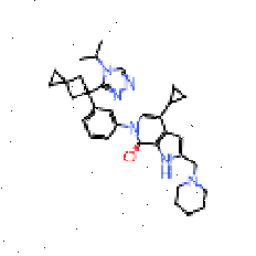 CC(C)n1cnnc1C1(c2cccc(-n3cc(C4CC4)c4cc(CN5CCCCC5)[nH]c4c3=O)c2)CC2(CC2)C1